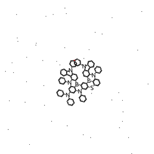 c1ccc(N(c2ccccc2)c2cc3c4c(c2)N(c2ccccc2)c2c(ccc5c2c2ccccc2n5-c2ccccc2)B4c2cc4c(cc2N3c2ccccc2)Sc2cccc3c2B4c2ccc4c(c2N3c2ccccc2)c2ccccc2n4-c2ccccc2)cc1